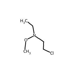 CCN(CCCl)OC